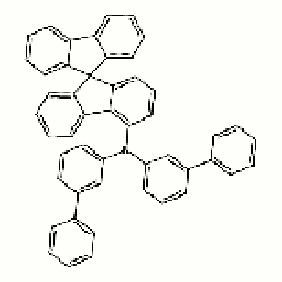 c1ccc(-c2cccc(N(c3cccc(-c4ccccc4)c3)c3cccc4c3-c3ccccc3C43c4ccccc4-c4ccccc43)c2)cc1